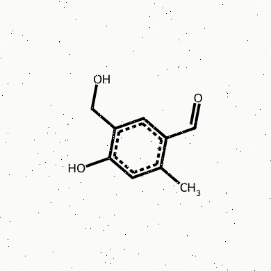 Cc1cc(O)c(CO)cc1C=O